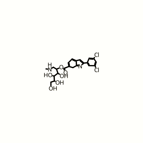 CNCC(OC(=O)C1=CC=C2C=C(c3cc(Cl)cc(Cl)c3)N=C2C1)C(O)C(O)C(O)CO